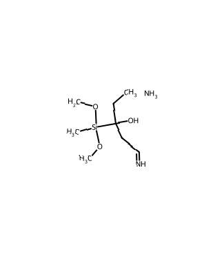 CCC(O)(CC=N)[Si](C)(OC)OC.N